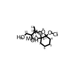 COC1(OCl)CCCCC1(OC)OC(C)C(O)CO